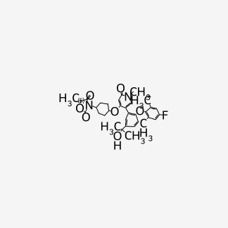 Cc1cc(F)cc(C)c1Oc1ccc(C(C)(C)O)cc1-c1cn(C)c(=O)cc1OC1CCC(N2C(=O)O[C@@H](C)C2=O)CC1